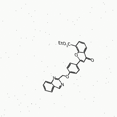 CCOC(=O)c1cccc2c(=O)cc(-c3ccc(OCc4ncc5ccccc5n4)cc3)oc12